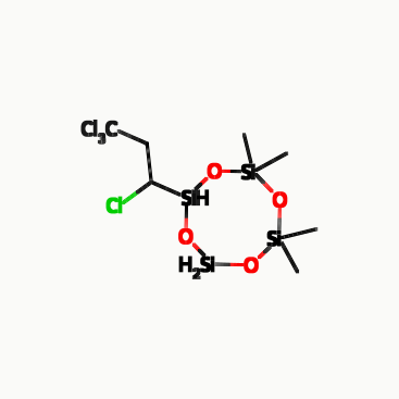 C[Si]1(C)O[SiH2]O[SiH](C(Cl)CC(Cl)(Cl)Cl)O[Si](C)(C)O1